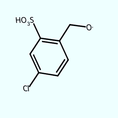 [O]Cc1ccc(Cl)cc1S(=O)(=O)O